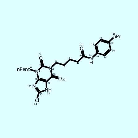 CCCCCn1c(=O)n(CCCCC(=O)Nc2ccc(CCC)cc2)c(=O)c2[nH]c(Cl)nc21